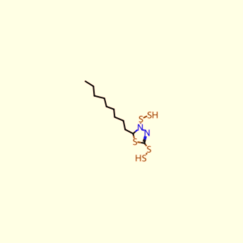 CCCCCCCCCC1SC(SS)=NN1SS